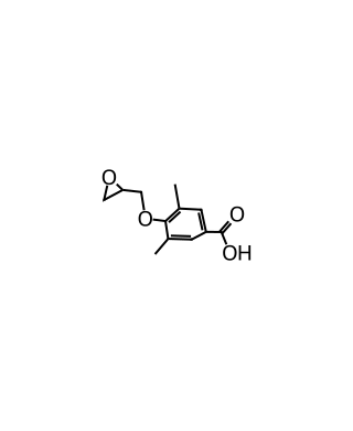 Cc1cc(C(=O)O)cc(C)c1OCC1CO1